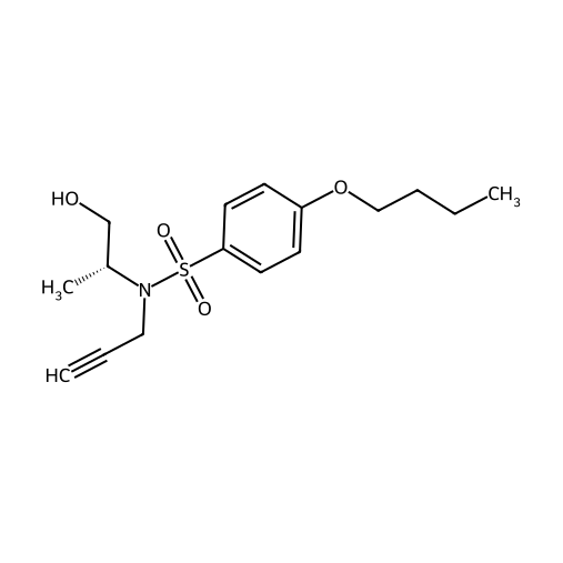 C#CCN([C@H](C)CO)S(=O)(=O)c1ccc(OCCCC)cc1